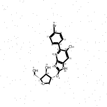 OC[C@H]1OC[C@@H](Oc2nc3nc(-c4ccc(Br)cc4)c(Cl)cc3[nH]2)[C@@H]1O